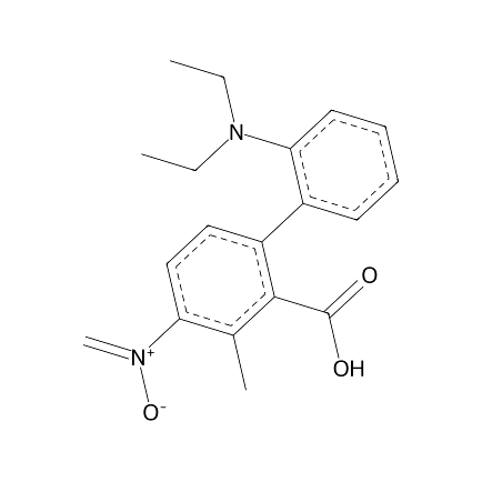 C=[N+]([O-])c1ccc(-c2ccccc2N(CC)CC)c(C(=O)O)c1C